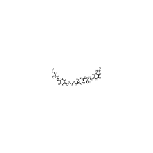 CCOC(=O)COc1ccc(OCCCCN2CCN(C[C@@H](O)COc3ccc4sc(C)nc4c3)CC2)cc1